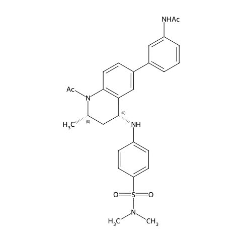 CC(=O)Nc1cccc(-c2ccc3c(c2)[C@H](Nc2ccc(S(=O)(=O)N(C)C)cc2)C[C@H](C)N3C(C)=O)c1